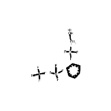 CO.F[B-](F)(F)F.F[B-](F)(F)F.F[B-](F)(F)F.[KH].c1ccccc1